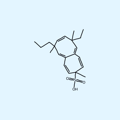 CCCC1(C)/C=C\C(C)(CC)/C=C2/C=CC(C)(S(=O)(=O)O)C=C/C2=C/1